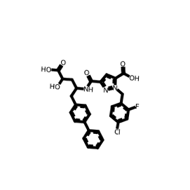 O=C(NC(Cc1ccc(-c2ccccc2)cc1)CC(O)C(=O)O)c1cc(C(=O)O)n(Cc2ccc(Cl)cc2F)n1